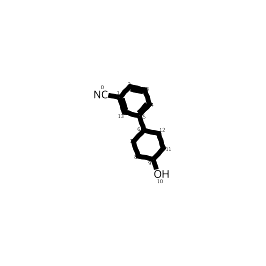 N#Cc1cccc(C2CCC(O)CC2)c1